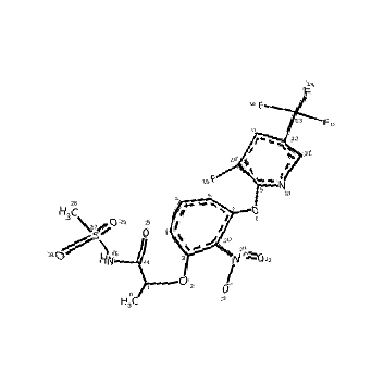 CC(Oc1cccc(Oc2ncc(C(F)(F)F)cc2F)c1[N+](=O)[O-])C(=O)NS(C)(=O)=O